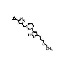 CCOCCCc1cc(N2CC=CN(Cc3cc(C4CC4)no3)C2)[nH]n1